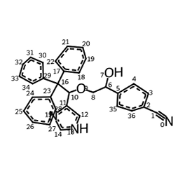 N#Cc1ccc(C(O)COC(c2c[nH]cn2)C(c2ccccc2)(c2ccccc2)c2ccccc2)cc1